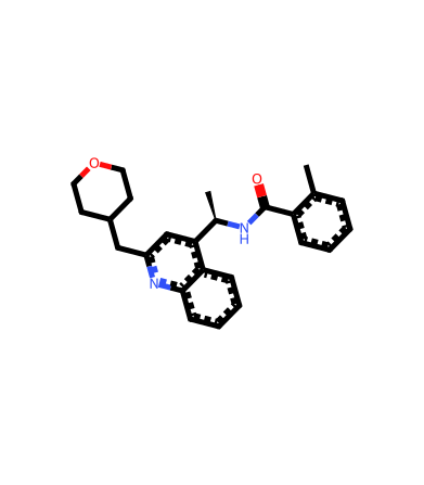 Cc1ccccc1C(=O)N[C@H](C)c1cc(CC2CCOCC2)nc2ccccc12